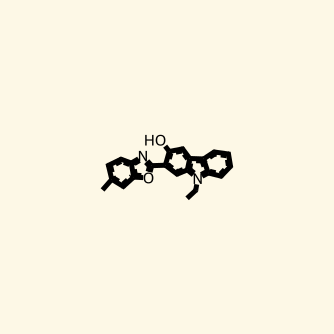 CCn1c2ccccc2c2cc(O)c(-c3nc4ccc(C)cc4o3)cc21